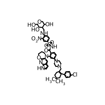 CC1(C)CCC(CN2CCN(c3ccc(C(=O)NS(=O)(=O)c4ccc(NCC5C(O)COC(O)C5O)c([N+](=O)[O-])c4)c(N4CCCOc5nc6[nH]ccc6cc54)c3)CC2)=C(c2ccc(Cl)cc2)C1